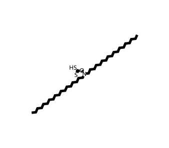 CCCCCCCCCCCCCCCCCCN(CCCCCCCCCCCCCCCCCC)OC(=S)S